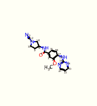 COc1cc(C(=O)NC2CCN(C#N)C2)ccc1Nc1ncccn1